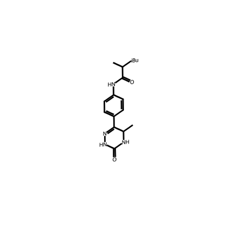 CCC(C)C(C)C(=O)Nc1ccc(C2=NNC(=O)NC2C)cc1